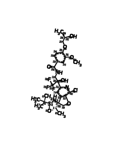 CC[C@@]1(N[S+]([O-])C(C)(C)C)COc2c1cc([C@@](O)(CNC(=O)c1ccc(OC[C@@H](C)O)c(OC)c1)C(F)(F)F)nc2Cl